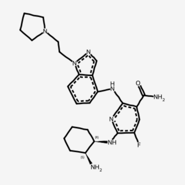 NC(=O)c1cc(F)c(N[C@@H]2CCCC[C@@H]2N)nc1Nc1cccc2c1cnn2CCN1CCCC1